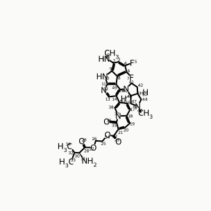 CNc1cc(F)c(F)c2c1[nH]c1ncc(-c3ccc4ccc(C(=O)OCCOC(=O)[C@@H](N)C(C)C)c(=O)n4c3)c(N3CC[C@H]4CN(C)C[C@H]43)c12